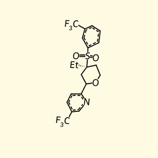 CC[C@]1(S(=O)(=O)c2cccc(C(F)(F)F)c2)CCOC(c2ccc(C(F)(F)F)cn2)C1